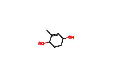 CC1=CC(O)CCC1O